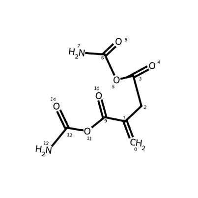 C=C(CC(=O)OC(N)=O)C(=O)OC(N)=O